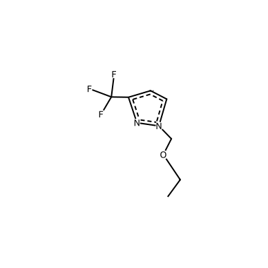 CCOCn1c[c]c(C(F)(F)F)n1